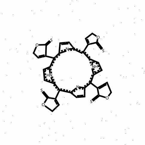 S=C1OCC=C1c1c2nc(c(C3=CCOC3=S)c3ccc([nH]3)c(C3=CCOC3=S)c3nc(c(C4=CCOC4=S)c4ccc1[nH]4)C=C3)C=C2